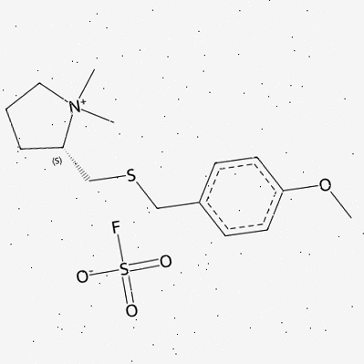 COc1ccc(CSC[C@@H]2CCC[N+]2(C)C)cc1.O=S(=O)([O-])F